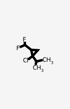 C[C](C)C1(Cl)CC1C(F)F